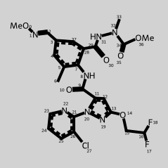 CON=Cc1cc(C)c(NC(=O)c2cc(OCC(F)F)nn2-c2ncccc2Cl)c(C(=O)NN(C)C(=O)OC)c1